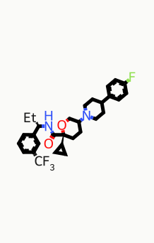 CC[C@@H](NC(=O)[C@@]1(C2CC2)CCC(N2CCC(c3ccc(F)cc3)CC2)CO1)c1cccc(C(F)(F)F)c1